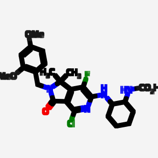 COc1ccc(CN2C(=O)c3c(Cl)nc(NC4CCCCC4NC(=O)O)c(F)c3C2(C)C)c(OC)c1